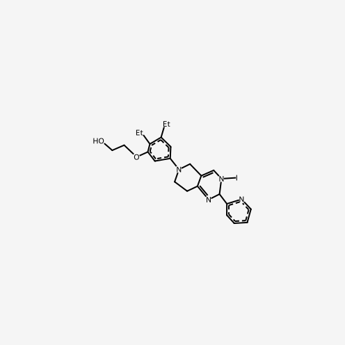 CCc1cc(N2CCC3=NC(c4ccccn4)N(I)C=C3C2)cc(OCCO)c1CC